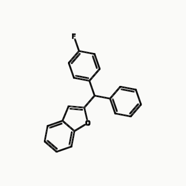 Fc1ccc(C(c2ccccc2)c2cc3ccccc3o2)cc1